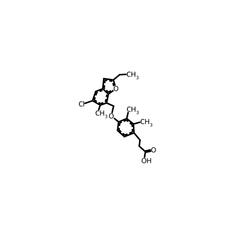 CCc1cc2cc(Cl)c(C)c(COc3ccc(CCC(=O)O)c(C)c3C)c2o1